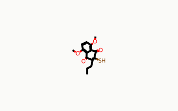 CCCC1=C(S)C(=O)c2c(OC)ccc(OC)c2C1=O